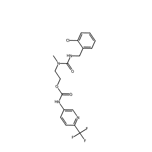 CN(CCOC(=O)Nc1ccc(C(F)(F)F)nc1)C(=O)NCc1ccccc1Cl